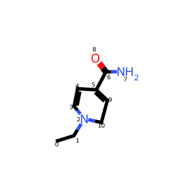 CCN1C=CC(C(N)=O)=CC1